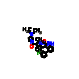 CCN(CC)C1CCN(C(=O)c2c(C)[nH]c(/C=C3\C(=O)Nc4cccc(-c5cccc(F)c5)c43)c2C)C1